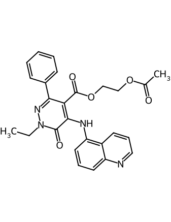 CCn1nc(-c2ccccc2)c(C(=O)OCCOC(C)=O)c(Nc2cccc3ncccc23)c1=O